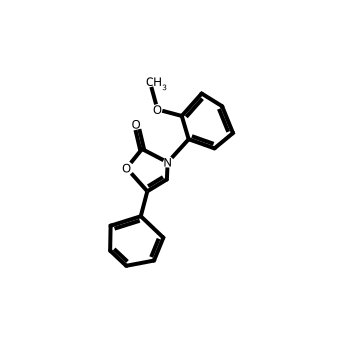 COc1ccccc1-n1cc(-c2ccccc2)oc1=O